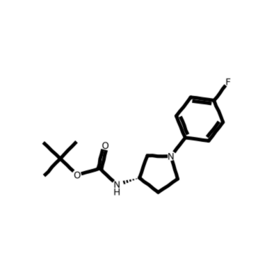 CC(C)(C)OC(=O)N[C@H]1CCN(c2ccc(F)cc2)C1